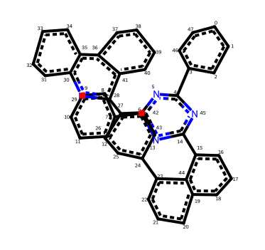 c1ccc(-c2nc(-c3ccccc3)nc(-c3cccc4cccc(-c5ccc(-c6nc7ccccc7c7ccccc67)cc5)c34)n2)cc1